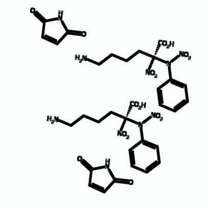 NCCCC[C@@](C(=O)O)(N(c1ccccc1)[N+](=O)[O-])[N+](=O)[O-].NCCCC[C@@](C(=O)O)(N(c1ccccc1)[N+](=O)[O-])[N+](=O)[O-].O=C1C=CC(=O)N1.O=C1C=CC(=O)N1